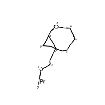 CC(C)OCC12CCCOC1C2